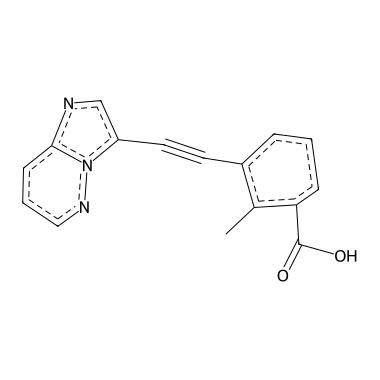 Cc1c(C#Cc2cnc3cccnn23)cccc1C(=O)O